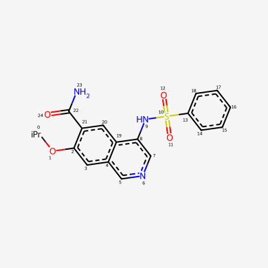 CC(C)Oc1cc2cncc(NS(=O)(=O)c3ccccc3)c2cc1C(N)=O